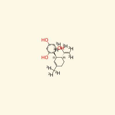 [2H]C([2H])=C([C@@H]1CCC(C([2H])([2H])[2H])=C[C@H]1c1c(O)cc(O)cc1O)C([2H])([2H])[2H]